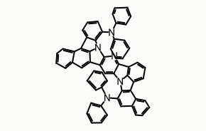 c1ccc(N(c2ccccc2)c2cc3ccccc3c3c4cccc5c6nc7c(cc6n(c23)c54)c2cc3ccccc3c3c4cccc(N(c5ccccc5)c5ccccc5)c4n7c23)cc1